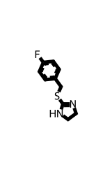 Fc1ccc(CSC2=NCCN2)cc1